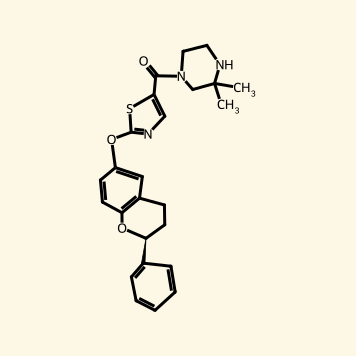 CC1(C)CN(C(=O)c2cnc(Oc3ccc4c(c3)CC[C@@H](c3ccccc3)O4)s2)CCN1